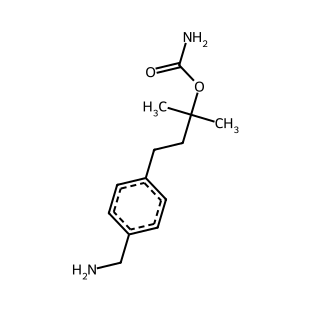 CC(C)(CCc1ccc(CN)cc1)OC(N)=O